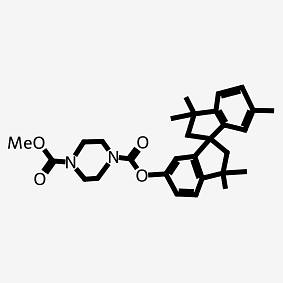 COC(=O)N1CCN(C(=O)Oc2ccc3c(c2)C2(CC(C)(C)c4ccc(C)cc42)CC3(C)C)CC1